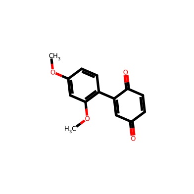 COc1ccc(C2=CC(=O)C=CC2=O)c(OC)c1